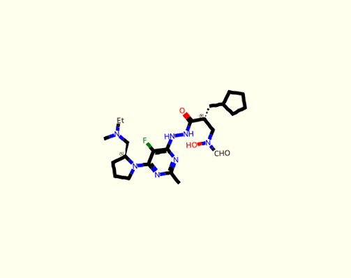 CCN(C)C[C@@H]1CCCN1c1nc(C)nc(NNC(=O)[C@H](CC2CCCC2)CN(O)C=O)c1F